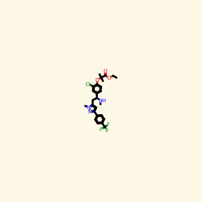 CCOC(=O)C(C)(C)Oc1ccc(C(Cc2cc(-c3ccc(C(F)(F)F)cc3)nn2C)NC)cc1Cl